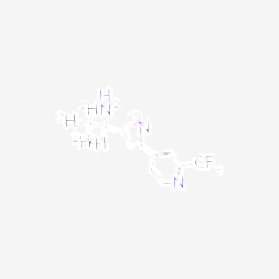 [2H]C([2H])([2H])C([2H])(N)c1cc(-c2ccnc(C(F)(F)F)c2)no1